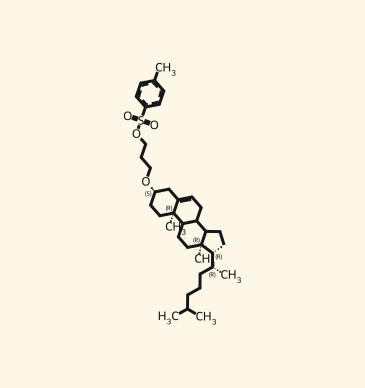 Cc1ccc(S(=O)(=O)OCCCO[C@H]2CC[C@@]3(C)C(=CCC4C3CC[C@@]3(C)C4CC[C@@H]3[C@H](C)CCCC(C)C)C2)cc1